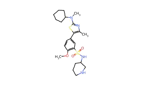 COc1ccc(-c2sc(N(C)C3CCCCC3)nc2C)cc1S(=O)(=O)NC1CCCNC1